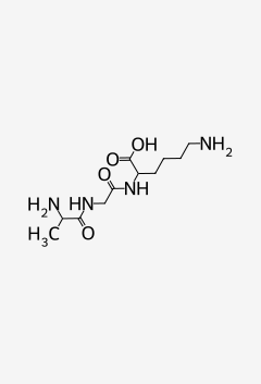 CC(N)C(=O)NCC(=O)NC(CCCCN)C(=O)O